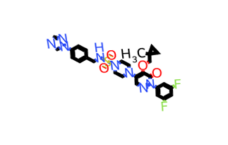 CC1(COc2c(N3CCN(S(=O)(=O)NCc4ccc(-n5cncn5)cc4)CC3)cnn(-c3cc(F)cc(F)c3)c2=O)CC1